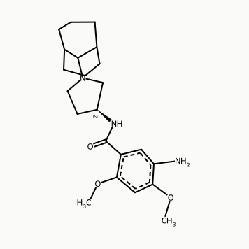 COc1cc(OC)c(C(=O)N[C@H]2CCN(C3C4CCCC3CCC4)C2)cc1N